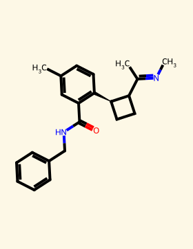 C/N=C(\C)C1CC[C@H]1c1ccc(C)cc1C(=O)NCc1ccccc1